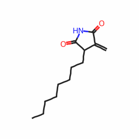 C=C1C(=O)NC(=O)C1CCCCCCCC